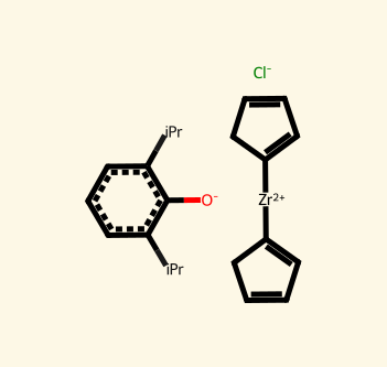 C1=CC[C]([Zr+2][C]2=CC=CC2)=C1.CC(C)c1cccc(C(C)C)c1[O-].[Cl-]